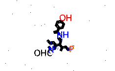 C=C(N/C=C/C(C(/C=C/C)=C/N(C)C=O)C(C)C/C=P\C)C1=CC=C(O)CC1